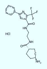 Cl.N[C@H]1CC[C@H](C(=O)NCCNC(=O)c2cn(-c3ccccc3)nc2C(F)(F)F)CC1